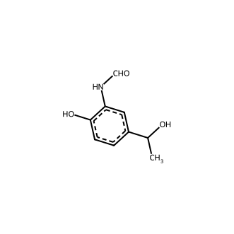 CC(O)c1ccc(O)c(NC=O)c1